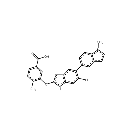 Cc1ccc(C(=O)O)cc1Oc1nc2cc(-c3ccc4c(ccn4C)c3)c(Cl)cc2[nH]1